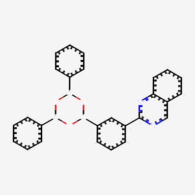 c1ccc(B2OB(c3ccccc3)OB(c3cccc(-c4ncc5ccccc5n4)c3)O2)cc1